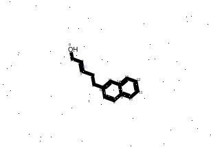 OC/C=C/CCc1ccc2ccccc2c1